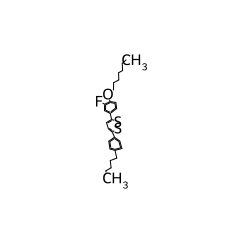 CCCCCCCOc1ccc(C2=CC=C(c3ccc(CCCCC)cc3)SS2)cc1F